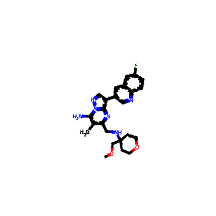 Bc1c(CNC2(COC)CCOCC2)nc2c(-c3cnc4ccc(F)cc4c3)cnn2c1N